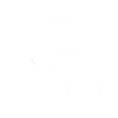 c1ccc(C2(c3ccccc3)CS2)cc1